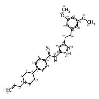 C=CCN1CCC(c2ccc(C(=O)Nc3cc(CCc4cc(OC)cc(OC)c4)n[nH]3)cc2)CC1